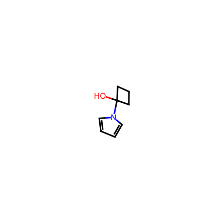 OC1(n2cccc2)CCC1